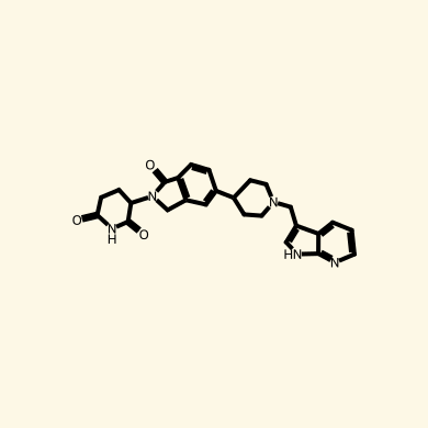 O=C1CCC(N2Cc3cc(C4CCN(Cc5c[nH]c6ncccc56)CC4)ccc3C2=O)C(=O)N1